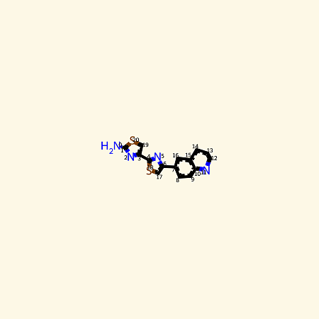 Nc1nc(-c2nc(-c3ccc4ncccc4c3)cs2)cs1